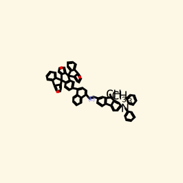 CC1(C)c2cc(/C=C/c3ccc(-c4ccc5c(c4)C4(c6ccccc6-c6ccccc64)c4ccccc4C54c5ccccc5-c5ccccc54)c4ccccc34)ccc2-c2ccc(N(c3ccccc3)c3ccccc3)cc21